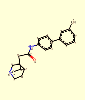 N#Cc1cccc(-c2ccc(NC(=O)CC3CN4CCC3CC4)cc2)c1